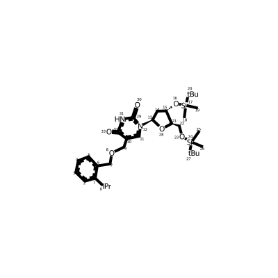 CC(C)c1ccccc1COCc1cn([C@H]2C[C@H](O[Si](C)(C)C(C)(C)C)[C@@H](CO[Si](C)(C)C(C)(C)C)O2)c(=O)[nH]c1=O